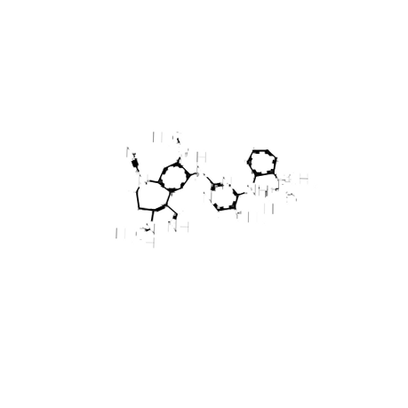 CNC1=C(C=N)c2cc(Nc3ncc(C)c(Nc4ccccc4P(C)(C)=O)n3)c(OC)cc2N(C#N)CC1